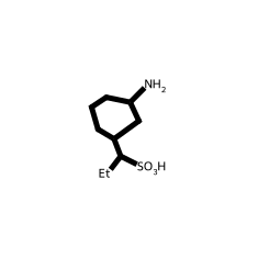 CCC(C1CCCC(N)C1)S(=O)(=O)O